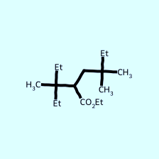 CCOC(=O)C(CC(C)(C)CC)C(C)(CC)CC